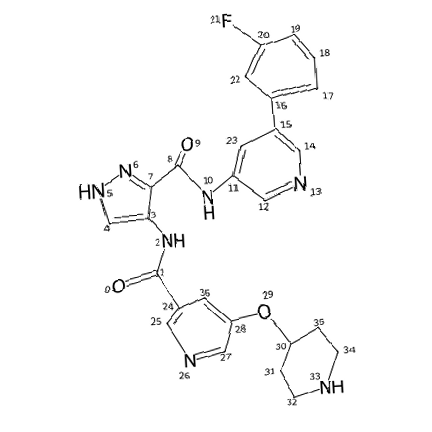 O=C(Nc1c[nH]nc1C(=O)Nc1cncc(-c2cccc(F)c2)c1)c1cncc(OC2CCNCC2)c1